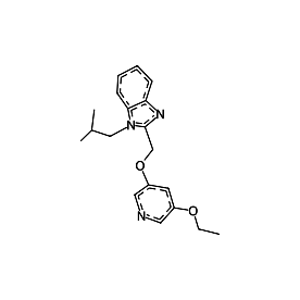 CCOc1cncc(OCc2nc3ccccc3n2CC(C)C)c1